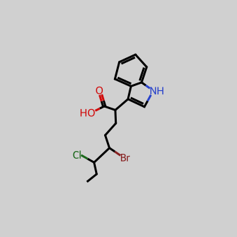 CCC(Cl)C(Br)CCC(C(=O)O)c1c[nH]c2ccccc12